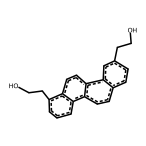 OCCc1ccc2ccc3c4cccc(CCO)c4ccc3c2c1